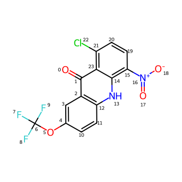 O=c1c2cc(OC(F)(F)F)ccc2[nH]c2c([N+](=O)[O-])ccc(Cl)c12